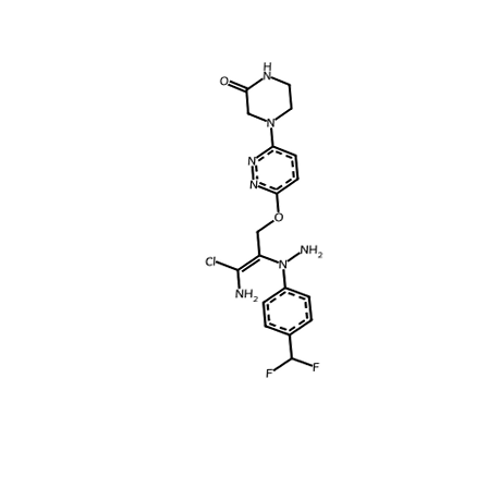 N/C(Cl)=C(/COc1ccc(N2CCNC(=O)C2)nn1)N(N)c1ccc(C(F)F)cc1